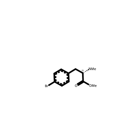 CN[C@@H](Cc1ccc(Br)cc1)C(=O)OC